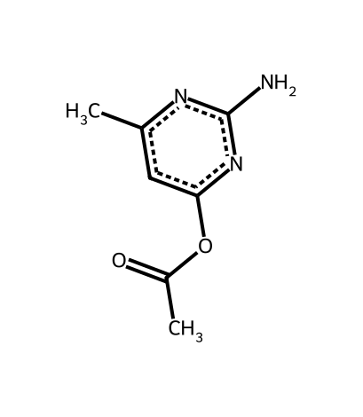 CC(=O)Oc1cc(C)nc(N)n1